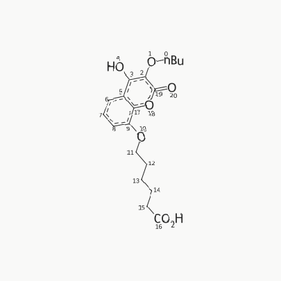 CCCCOc1c(O)c2cccc(OCCCCCC(=O)O)c2oc1=O